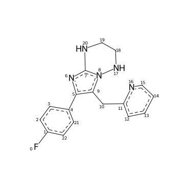 Fc1ccc(-c2nc3n(c2Cc2ccccn2)NCCN3)cc1